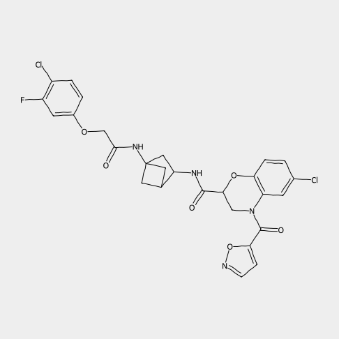 O=C(COc1ccc(Cl)c(F)c1)NC12CC(C1)C(NC(=O)C1CN(C(=O)c3ccno3)c3cc(Cl)ccc3O1)C2